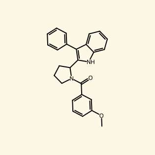 COc1cccc(C(=O)N2CCCC2c2[nH]c3ccccc3c2-c2ccccc2)c1